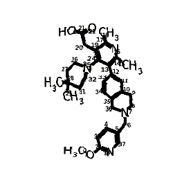 COc1ccc(CN2CCc3cc(-c4c(C)nc(C)c(CC(=O)O)c4N4CCC(C)(C)CC4)ccc3C2)cn1